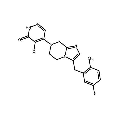 O=c1[nH]ncc(N2CCn3c(Cc4cc(F)ccc4C(F)(F)F)cnc3C2)c1Cl